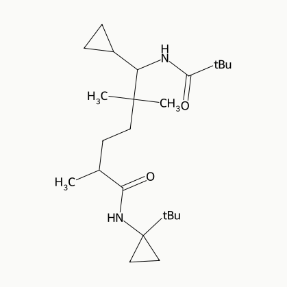 CC(CCC(C)(C)C(NC(=O)C(C)(C)C)C1CC1)C(=O)NC1(C(C)(C)C)CC1